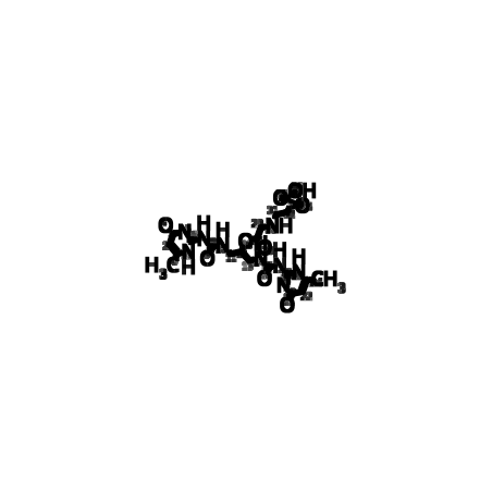 Cc1cc(=O)nc(NC(=O)NCC(CNC(=O)Nc2nc(=O)cc(C)[nH]2)OC(=O)CNCCS(=O)(=O)O)[nH]1